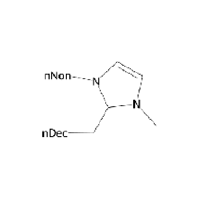 CCCCCCCCCCCC1N(C)C=CN1CCCCCCCCC